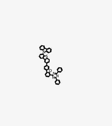 C1=C(c2ccc3c(c2)oc2c(-c4nc(-c5ccccc5)nc(-c5ccccc5)n4)cccc23)C=C2c3cccc(-n4c5ccccc5c5ccccc54)c3SC2C1